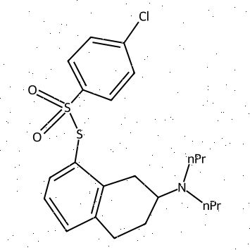 CCCN(CCC)C1CCc2cccc(SS(=O)(=O)c3ccc(Cl)cc3)c2C1